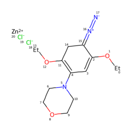 CCOC1=CC(N2CCOCC2)=C(OCC)CC1=[N+]=[N-].[Cl-].[Cl-].[Zn+2]